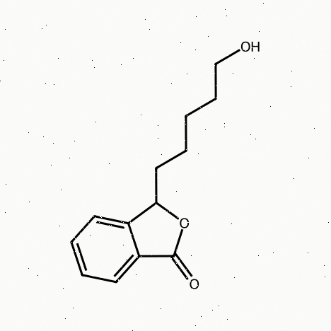 O=C1OC(CCCCCO)c2ccccc21